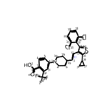 O=C(O)c1ccc(N2CCC(/C=C/c3c(-c4c(Cl)cccc4Cl)noc3C3CC3)CC2)cc1C(F)(F)F